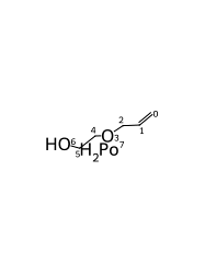 C=CCOCCO.[PoH2]